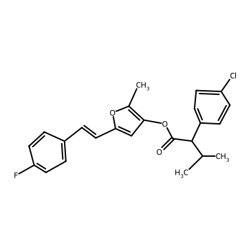 Cc1oc(C=Cc2ccc(F)cc2)cc1OC(=O)C(c1ccc(Cl)cc1)C(C)C